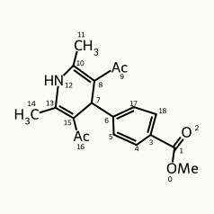 COC(=O)c1ccc(C2C(C(C)=O)=C(C)NC(C)=C2C(C)=O)cc1